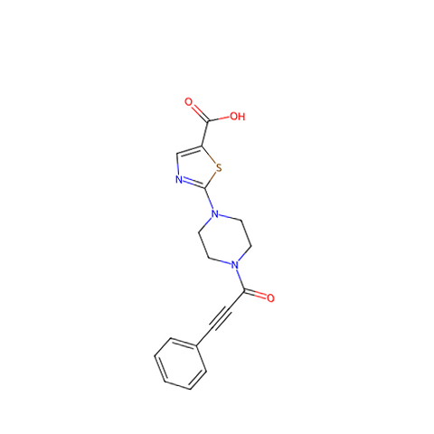 O=C(O)c1cnc(N2CCN(C(=O)C#Cc3ccccc3)CC2)s1